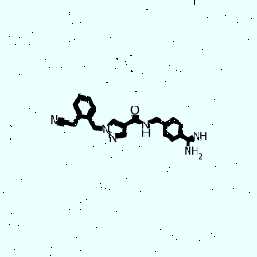 N#CCc1ccccc1Cn1cc(C(=O)NCc2ccc(C(=N)N)cc2)cn1